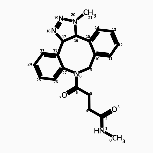 CNC(=O)CCC(=O)N1Cc2ccccc2C2C(N=NN2C)c2ccccc21